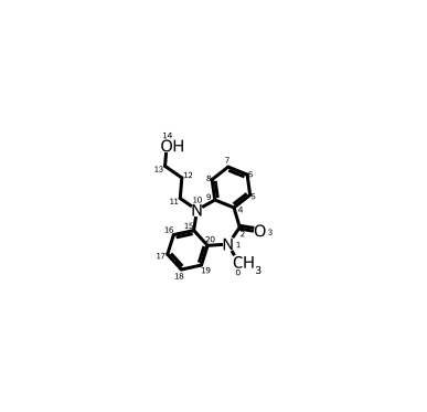 CN1C(=O)c2ccccc2N(CCCO)c2ccccc21